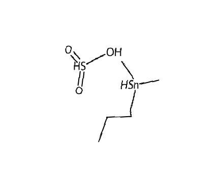 CC[CH2][SnH]([CH3])[CH3].O=[SH](=O)O